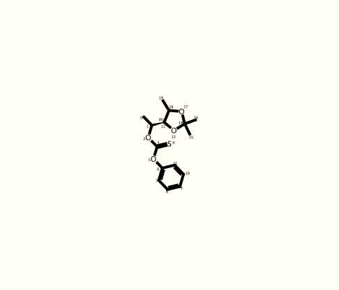 CC(OC(=S)Oc1ccccc1)[C@@H]1OC(C)(C)OC1C